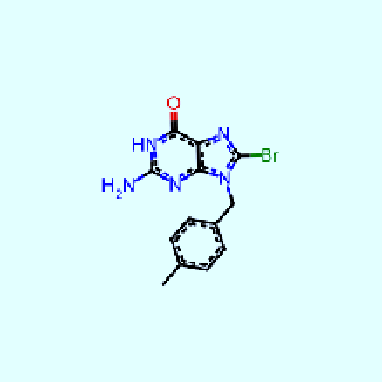 Cc1ccc(Cn2c(Br)nc3c(=O)[nH]c(N)nc32)cc1